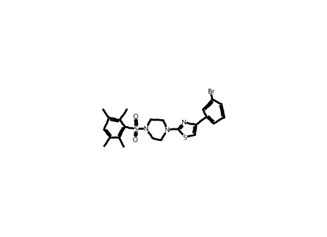 Cc1cc(C)c(C)c(S(=O)(=O)N2CCN(c3nc(-c4cccc(Br)c4)cs3)CC2)c1C